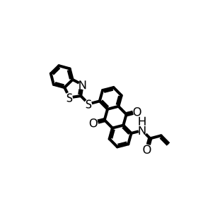 C=CC(=O)Nc1cccc2c1C(=O)c1cccc(Sc3nc4ccccc4s3)c1C2=O